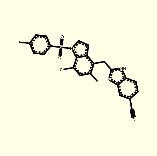 Cc1ccc(S(=O)(=O)n2ccc3c(Cc4nc5cc(C#N)ccc5[nH]4)c(C)cc(Cl)c32)cc1